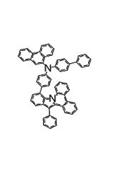 c1ccc(-c2ccc(N(c3ccc(-c4cccc5c(-c6ccccc6)c6c7ccccc7c7ccccc7n6c45)cc3)c3cc4ccccc4c4ccccc34)cc2)cc1